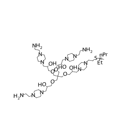 CCC[C@](C)(CC)SCCN1CCN(CC(O)COCC(COCC(O)CN2CCN(CCN)CC2)(COCC(O)CN2CCN(CCN)CC2)COCC(O)CN2CCN(CCN)CC2)CC1